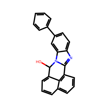 OC1c2cccc3cccc(c23)-c2nc3ccc(-c4ccccc4)cc3n21